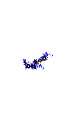 CC(C)(C#N)c1cc(-c2cnc(N)c(-c3nnc(-c4ccc(N5CCCC(N)C5)cc4)o3)n2)ccn1